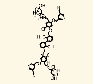 Cc1c(COc2cc(OCc3cncc(C#N)c3)c(CNCC(C)(O)CC(=O)O)cc2Cl)cccc1-c1cccc(COc2cc(OCc3cncc(C#N)c3)c(CNCC(C)(O)CC(=O)O)cc2Cl)c1C